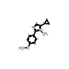 COc1ccc(-c2ncc(C3CC3)n2C)cc1